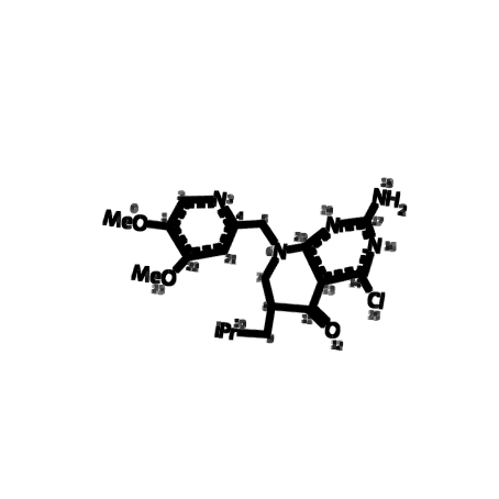 COc1cnc(CN2CC(CC(C)C)C(=O)c3c(Cl)nc(N)nc32)cc1OC